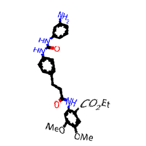 CCOC(=O)c1cc(OC)c(OC)cc1NC(=O)CCc1ccc(NC(=O)Nc2cccc(N)c2)cc1